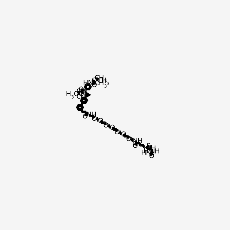 CC(C)(C)OC(=O)N[C@H]1CC[C@H](N(C(=O)OC(C)(C)C)[C@@H]2C[C@H]2c2ccc(-c3cccc(CCC(=O)NCCOCCOCCOCCOCCOCCOCCOCCNC(=O)CCCC[C@@H]4SC[C@@H]5NC(=O)N[C@@H]54)c3)cc2)CC1